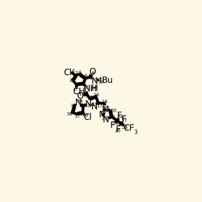 Cc1cc(Cl)cc(C(=O)NC(C)(C)C)c1NC(=O)c1cc(Cn2cc(C(F)(F)C(F)(F)C(F)(F)F)nn2)nn1-c1ncccc1Cl